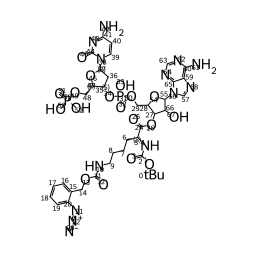 CC(C)(C)OC(=O)N[C@@H](CCCCNC(=O)OCc1ccccc1N=[N+]=[N-])C(=O)OC1C(COP(=O)(O)O[C@H]2C[C@H](n3ccc(N)nc3=O)O[C@@H]2COP(=O)(O)O)OC(n2cnc3c(N)ncnc32)C1O